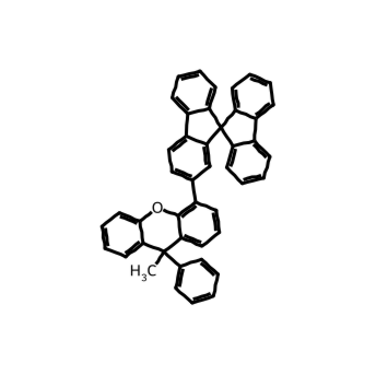 CC1(c2ccccc2)c2ccccc2Oc2c(-c3ccc4c(c3)C3(c5ccccc5-c5ccccc53)c3ccccc3-4)cccc21